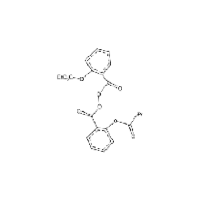 CCOC(=O)Oc1ccccc1C(=O)OOC(=O)c1ccccc1OC(=O)C(C)C